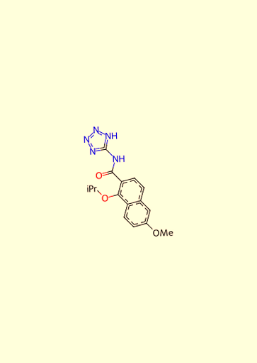 COc1ccc2c(OC(C)C)c(C(=O)Nc3nnn[nH]3)ccc2c1